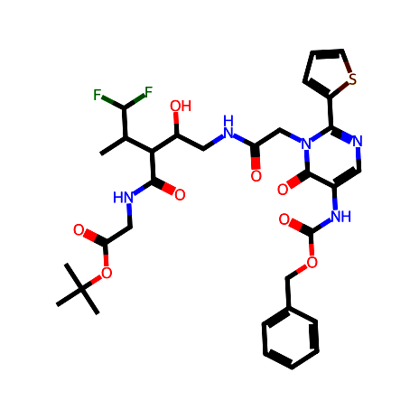 CC(C(F)F)C(C(=O)NCC(=O)OC(C)(C)C)C(O)CNC(=O)Cn1c(-c2cccs2)ncc(NC(=O)OCc2ccccc2)c1=O